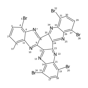 Cc1ccc(Br)c2nc3c(nc12)c1nc2c(Br)ccc(Br)c2nc1c1nc2c(Br)ccc(Br)c2nc31